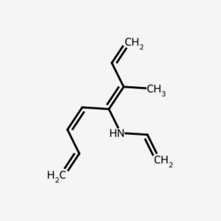 C=C/C=C\C(NC=C)=C(\C)C=C